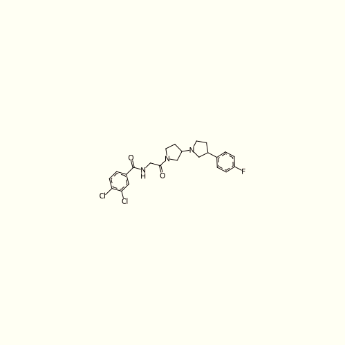 O=C(NCC(=O)N1CCC(N2CCC(c3ccc(F)cc3)C2)C1)c1ccc(Cl)c(Cl)c1